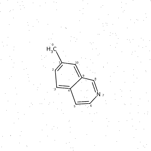 Cc1ccc2ccn[c]c2c1